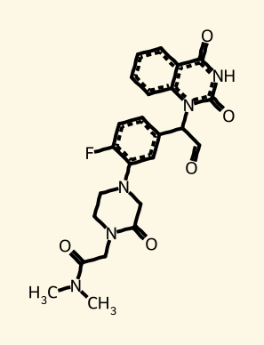 CN(C)C(=O)CN1CCN(c2cc(C(C=O)n3c(=O)[nH]c(=O)c4ccccc43)ccc2F)CC1=O